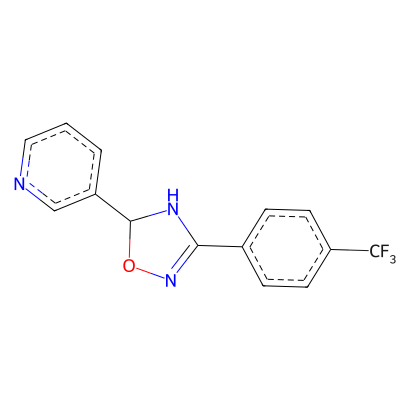 FC(F)(F)c1ccc(C2=NOC(c3cccnc3)N2)cc1